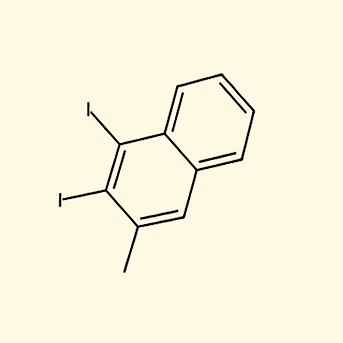 Cc1cc2ccccc2c(I)c1I